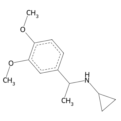 COc1ccc(C(C)NC2CC2)cc1OC